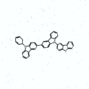 C1=CCC(n2c3ccccc3c3cc(-c4ccc5c(c4)c4ccccc4n5-c4ccc5sc6ccccc6c5c4)ccc32)C=C1